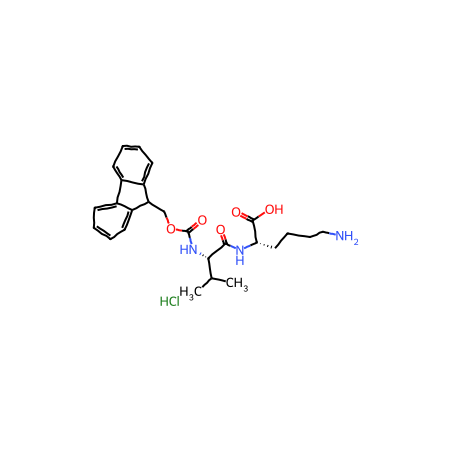 CC(C)[C@H](NC(=O)OCC1c2ccccc2-c2ccccc21)C(=O)N[C@@H](CCCCN)C(=O)O.Cl